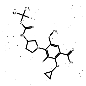 COc1cc(C(=O)O)c(NC2CC2)c(F)c1N1CCC(NC(=O)OC(C)(C)C)C1